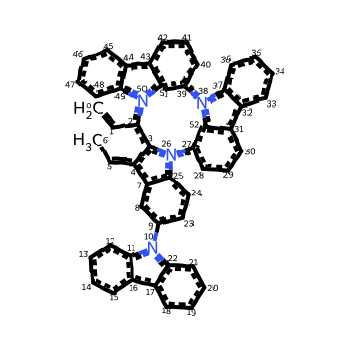 C=Cc1c2/c(=C\C)c3cc(-n4c5ccccc5c5ccccc54)ccc3n2c2cccc3c4ccccc4n(c4cccc5c6ccccc6n1c54)c32